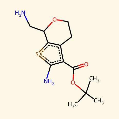 CC(C)(C)OC(=O)c1c(N)sc2c1CCOC2CN